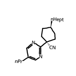 CCCCCCC[C@H]1CC[C@@](C#N)(c2ncc(CCC)cn2)CC1